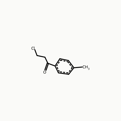 Cc1ccc(C(=O)CCCl)cc1